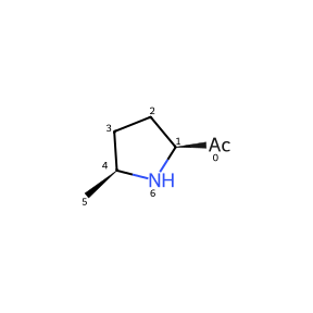 CC(=O)[C@@H]1CC[C@H](C)N1